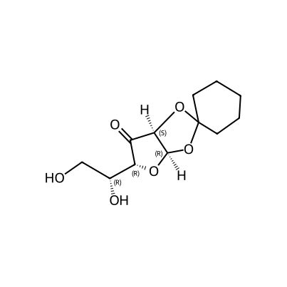 O=C1[C@H]2OC3(CCCCC3)O[C@H]2O[C@@H]1[C@H](O)CO